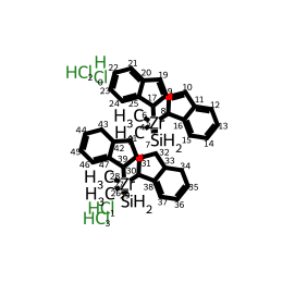 Cl.Cl.Cl.Cl.[CH3][Zr]([CH3])(=[SiH2])([CH]1C=Cc2ccccc21)[CH]1C=Cc2ccccc21.[CH3][Zr]([CH3])(=[SiH2])([CH]1CCC2CC=CC=C21)[CH]1CCC2CC=CC=C21